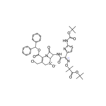 CC(C)(C)OC(=O)Nc1nc(/C(=N/OC(C)(C)C(=O)OC(C)(C)C)C(=O)NC2C(=O)N3C(C(=O)OC(c4ccccc4)c4ccccc4)=C(CCl)C[S+]([O-])C23)cs1